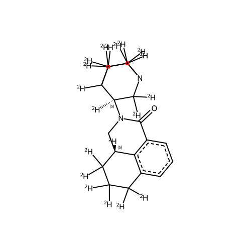 [2H]C1([2H])c2cccc3c2[C@@]([2H])(CN([C@]2([2H])C([2H])([2H])N4C([2H])([2H])C([2H])([2H])C2([2H])C([2H])([2H])C4([2H])[2H])C3=O)C([2H])([2H])C1([2H])[2H]